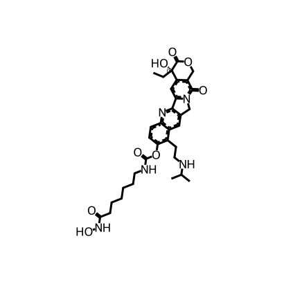 CC[C@@]1(O)C(=O)OCc2c1cc1n(c2=O)Cc2cc3c(CCNC(C)C)c(OC(=O)NCCCCCCC(=O)NO)ccc3nc2-1